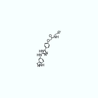 COCCNC(=O)COc1ccc(-c2nnc(Nc3ccc4[nH]ncc4c3)[nH]2)cc1